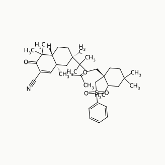 CC(=O)C[C@@H]1[C@@]2(C)C=C(C#N)C(=O)C(C)(C)[C@@H]2CC[C@@]1(C)C(C)(C)CC[C@@]1(CS(=O)(=O)c2ccccc2)CCC(C)(C)CC1C